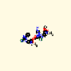 CC(=O)COc1cc2cc(Nc3nc(N4CCNCC4)nc(CC(=O)COc4cc5cc(Nc6nc(C7=CCCCC7)ncc6Cl)ccc5n(C)c4=O)c3Cl)ccc2n(C)c1=O